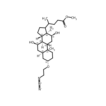 COC(=O)CCC(C)C1CC[C@H]2[C@@H]3[C@H](O)C[C@@H]4C[C@@H](OCCN=[N+]=[N-])CC[C@]4(C)[C@H]3C[C@H](O)[C@]12C